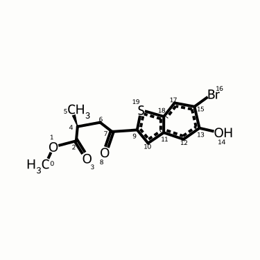 COC(=O)[C@@H](C)CC(=O)c1cc2cc(O)c(Br)cc2s1